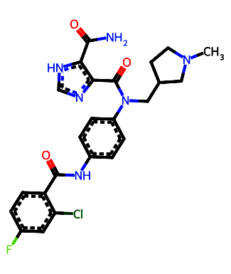 CN1CCC(CN(C(=O)c2nc[nH]c2C(N)=O)c2ccc(NC(=O)c3ccc(F)cc3Cl)cc2)C1